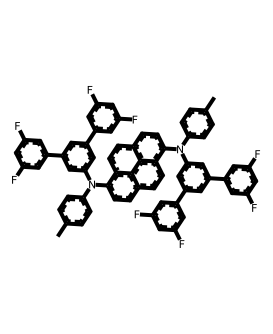 Cc1ccc(N(c2cc(-c3cc(F)cc(F)c3)cc(-c3cc(F)cc(F)c3)c2)c2ccc3ccc4c(N(c5ccc(C)cc5)c5cc(-c6cc(F)cc(F)c6)cc(-c6cc(F)cc(F)c6)c5)ccc5ccc2c3c54)cc1